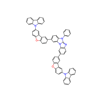 c1ccc(-n2c3ccc(-c4ccc5oc6ccc(-n7c8ccccc8c8ccccc87)cc6c5c4)cc3n3c4cc(-c5ccc6oc7ccc(-n8c9ccccc9c9ccccc98)cc7c6c5)ccc4nc23)cc1